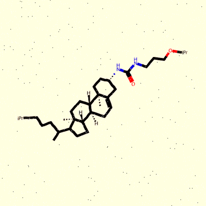 CC(C)CCCC(C)C1CC[C@H]2[C@@H]3CC=C4C[C@@H](NC(=O)NCCCOC(C)C)CC[C@]4(C)[C@H]3CC[C@]12C